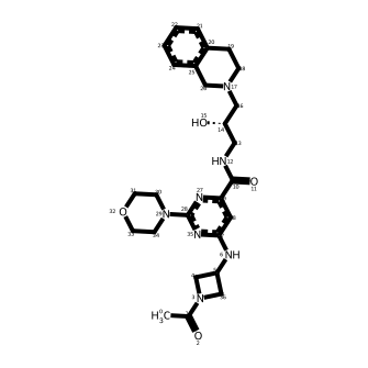 CC(=O)N1CC(Nc2cc(C(=O)NC[C@H](O)CN3CCc4ccccc4C3)nc(N3CCOCC3)n2)C1